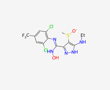 CCNc1[nH]nc(C(=Nc2c(Cl)cc(C(F)(F)F)cc2Cl)NO)c1[S+](C)[O-]